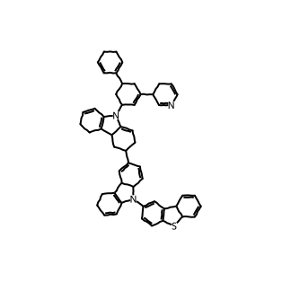 C1=CC2Sc3ccc(N4C5=C(CCC=C5)C5C=C(C6CC=C7C(C6)C6=C(C=CCC6)N7C6C=C(C7C=NC=CC7)CC(C7=CCCC=C7)C6)C=CC54)cc3C2C=C1